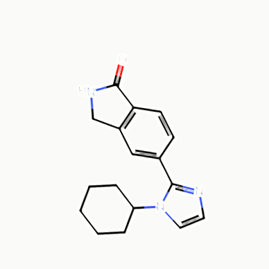 O=C1NCc2cc(-c3nccn3C3CCCCC3)ccc21